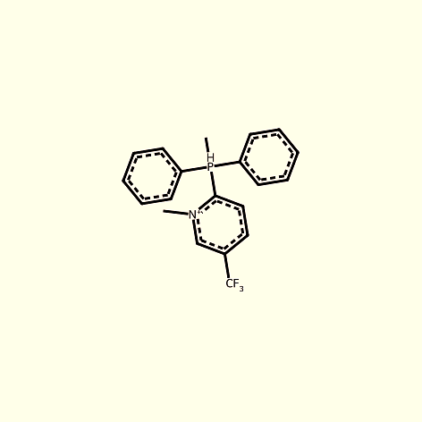 C[n+]1cc(C(F)(F)F)ccc1[PH](C)(c1ccccc1)c1ccccc1